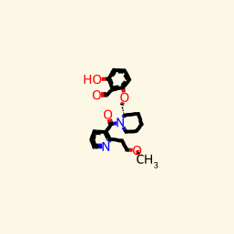 COCCc1ncccc1C(=O)N1CCCC[C@H]1COc1cccc(O)c1C=O